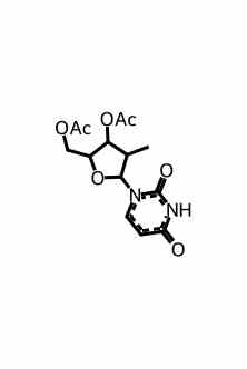 CC(=O)OCC1OC(n2ccc(=O)[nH]c2=O)C(C)C1OC(C)=O